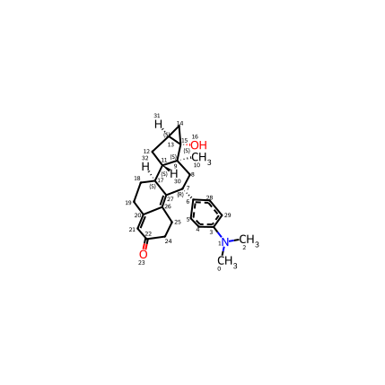 CN(C)c1ccc([C@H]2C[C@@]3(C)[C@@H](C[C@H]4C[C@]43O)[C@@H]3CCC4=CC(=O)CCC4=C32)cc1